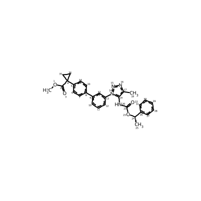 COC(=O)C1(c2ccc(-c3cccc(-n4nnc(C)c4NC(=O)O[C@H](C)c4ccccc4)c3)cc2)CC1